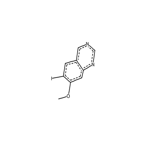 COc1cc2ncncc2cc1I